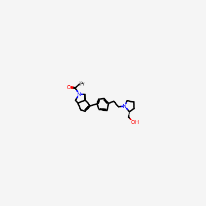 CC(C)C(=O)N1CC2CC=C(c3ccc(CCN4CCC[C@H]4CO)cc3)C2C1